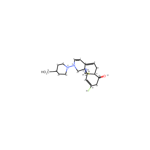 O=C(O)C1CCN(N2C=CC3=CCC4C(=O)CC(F)=CC45SC=NC35C2)CC1